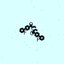 CCC(SC(CC)C(=O)c1ccc(-c2ccccc2F)cc1)C(=O)c1ccc(-c2ccccc2F)cc1